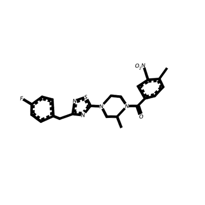 Cc1ccc(C(=O)N2CCN(c3nc(Cc4ccc(F)cc4)ns3)CC2C)cc1[N+](=O)[O-]